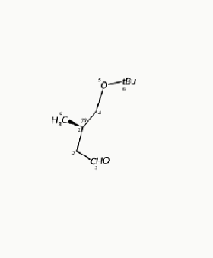 C[C@H](CC=O)COC(C)(C)C